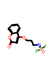 O=c1cc(OCCCN=S(=O)(F)F)c2ccccc2o1